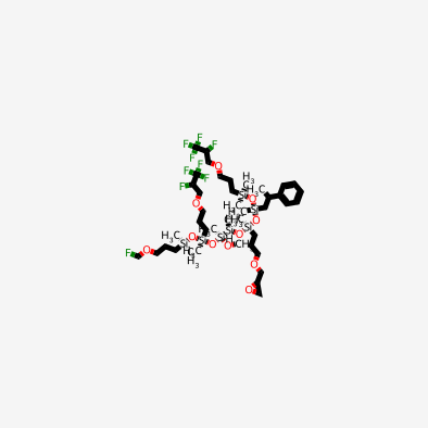 CO[Si](C)(O[Si](C)(CCCOCC(F)C(F)(F)F)O[Si](C)(C)CCCOCF)[SiH](C)O[Si](C)(CCCOCC1CO1)O[Si](C)(CC(C)c1ccccc1)O[Si](C)(C)CCCOCC(F)C(F)(F)F